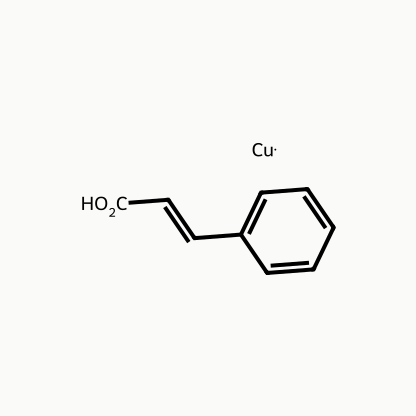 O=C(O)C=Cc1ccccc1.[Cu]